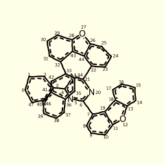 c1ccc(-c2nc(-c3cccc4oc5ccccc5c34)nc(-c3cccc4oc5cccc(-c6ccc7ccccc7c6)c5c34)n2)cc1